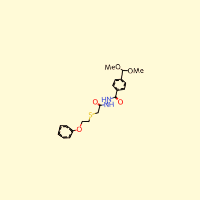 COC(OC)c1ccc(C(=O)NNC(=O)CSCCOc2ccccc2)cc1